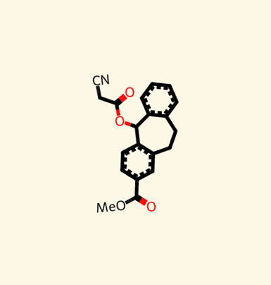 COC(=O)c1ccc2c(c1)CCc1ccccc1C2OC(=O)CC#N